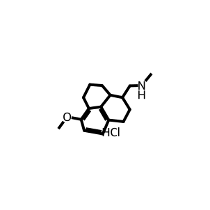 CNCC1CCc2ccc(OC)c3c2C1CCC3.Cl